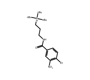 CCCC[PH](CCCC)(CCCC)CCCNC(=O)c1ccc(CC)c([N+](=O)[O-])c1